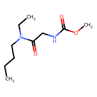 CCCCN(CC)C(=O)CNC(=O)OC